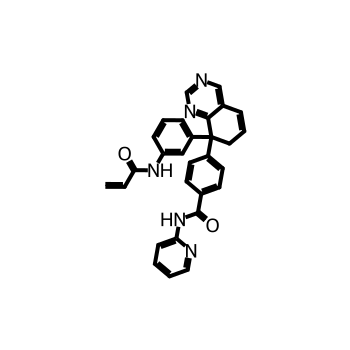 C=CC(=O)Nc1cccc(C2(c3ccc(C(=O)Nc4ccccn4)cc3)CC=Cc3cncnc32)c1